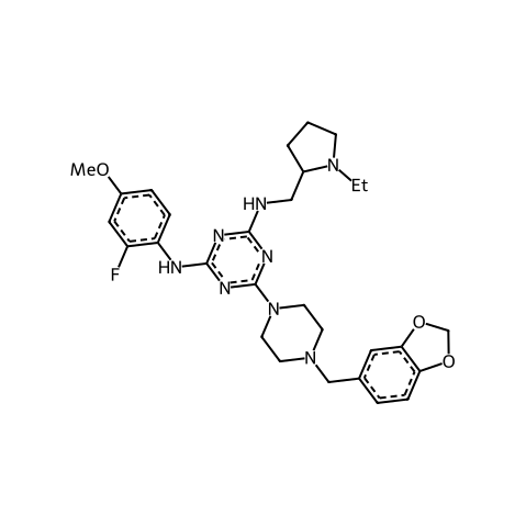 CCN1CCCC1CNc1nc(Nc2ccc(OC)cc2F)nc(N2CCN(Cc3ccc4c(c3)OCO4)CC2)n1